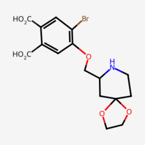 O=C(O)c1cc(Br)c(OCC2CC3(CCN2)OCCO3)cc1C(=O)O